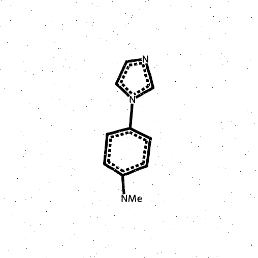 CNc1ccc(-n2ccnc2)cc1